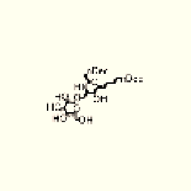 CCCCCCCCCCCCCC=CC(O)C(COC1O[C@H](CO)[C@@H](O)[C@H](O)[C@H]1O)NC(=O)CCCCCCCCCCC